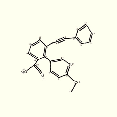 COc1ccc(-c2c(C#Cc3ccccc3)cccc2C(=O)O)cn1